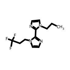 CCCn1ccnc1-c1nccn1CCC(F)(F)F